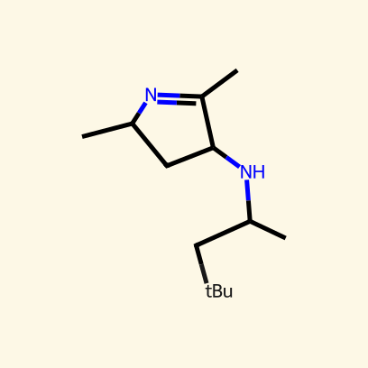 CC1=NC(C)CC1NC(C)CC(C)(C)C